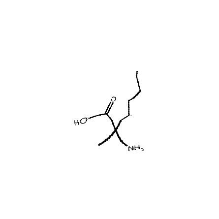 CCC[CH]C(C)(N)C(=O)O